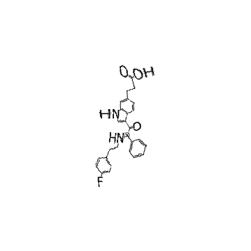 O=C(O)CCc1ccc2c(C(=O)[C@@H](NCCc3ccc(F)cc3)c3ccccc3)c[nH]c2c1